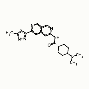 Cc1nnc(-c2cc3cc(NC(=O)[C@H]4CC[C@H](N(C)C)CC4)ncc3cn2)s1